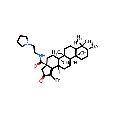 CC(=O)O[C@H]1CC[C@]2(C)[C@H]3CC[C@@H]4C5=C(C(C)C)C(=O)C[C@]5(C(=O)NCCN5CCCC5)CC[C@@]4(C)[C@]3(C)CC[C@H]2C1(C)C